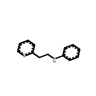 c1ccc(PCCc2ccccn2)cc1